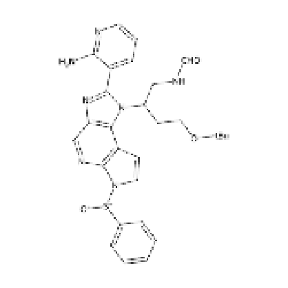 CC(C)(C)OCCC(CNC=O)n1c(-c2cccnc2N)nc2cnc3c(ccn3[S+]([O-])c3ccccc3)c21